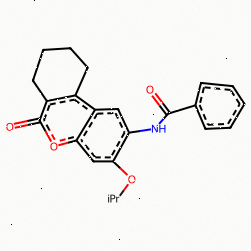 CC(C)Oc1cc2oc(=O)c3c(c2cc1NC(=O)c1ccccc1)CCCC3